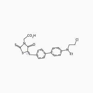 CCN(CCCl)c1ccc(-c2ccc(/C=C3/SC(=S)N(CC(=O)O)C3=O)cc2)cc1